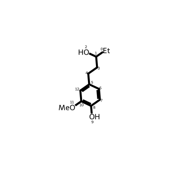 CCC(O)CCc1ccc(O)c(OC)c1